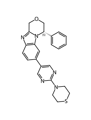 c1ccc([C@H]2COCc3nc4ccc(-c5cnc(N6CCSCC6)nc5)cc4n32)cc1